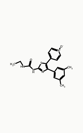 CCNC(=O)Nc1nc(-c2cc(C)cc(C)c2)c(-c2cc[n+]([O-])cc2)s1